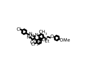 CCN(CCOc1ccc(OC)cc1)c1ccc(/N=C2\C(c3cc(Cl)ccc3Cl)=C(C(=O)O)c3nc(-c4ccc(Cl)cc4)nn32)c(C)c1